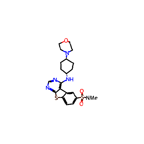 CNS(=O)(=O)c1ccc2sc3ncnc(N[C@H]4CC[C@H](N5CCOCC5)CC4)c3c2c1